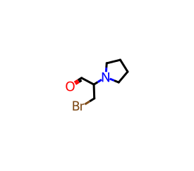 O=CC(CBr)N1CCCC1